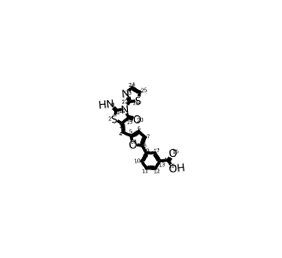 N=C1S/C(=C/c2ccc(-c3cccc(C(=O)O)c3)o2)C(=O)N1c1nccs1